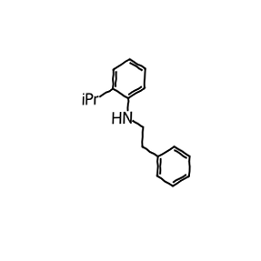 CC(C)c1ccccc1NCCc1ccccc1